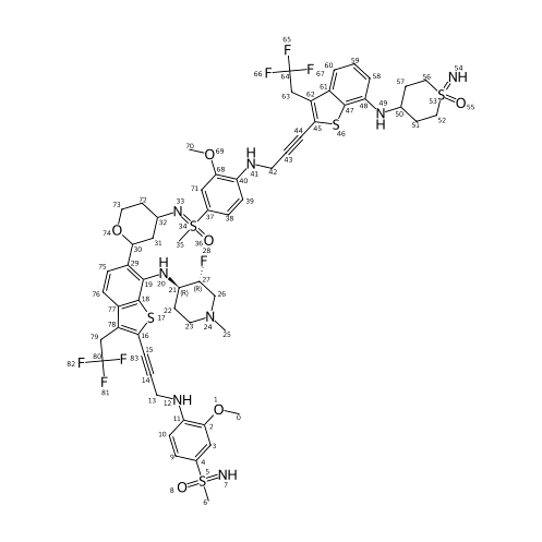 COc1cc(S(C)(=N)=O)ccc1NCC#Cc1sc2c(N[C@@H]3CCN(C)C[C@H]3F)c(C3CC(N=S(C)(=O)c4ccc(NCC#Cc5sc6c(NC7CCS(=N)(=O)CC7)cccc6c5CC(F)(F)F)c(OC)c4)CCO3)ccc2c1CC(F)(F)F